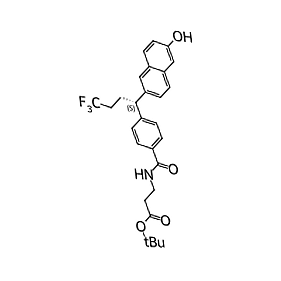 CC(C)(C)OC(=O)CCNC(=O)c1ccc([C@H](CCC(F)(F)F)c2ccc3cc(O)ccc3c2)cc1